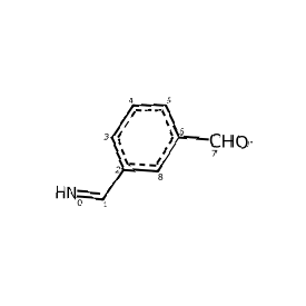 N=Cc1cccc([C]=O)c1